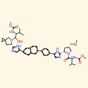 COC[C@H]1C[C@@H](c2ncc(-c3ccc(-c4ccc5cc(-c6cnc([C@@H]7CC8(CC8)CN7C(O)[C@@H](NC(=O)OC)C(C)C)[nH]6)ccc5c4)cc3)[nH]2)N(C(=O)[C@@H](NC(=O)OC)C(C)C)C1